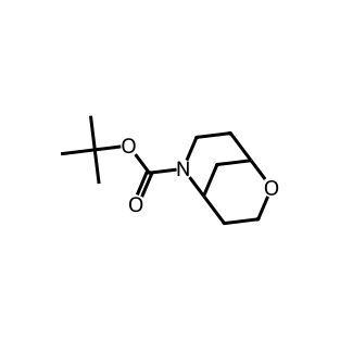 CC(C)(C)OC(=O)N1CCC2CC1CCO2